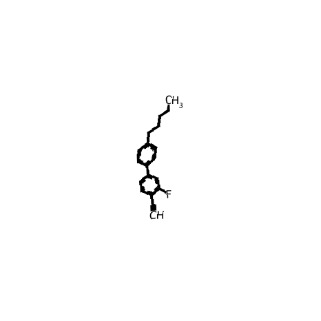 C#Cc1ccc(-c2ccc(CCCCC)cc2)cc1F